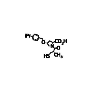 CC(C)c1ccc(CO[C@@H]2C[C@@H](C(=O)O)N(C(=O)[C@H](C)CS)C2)cc1